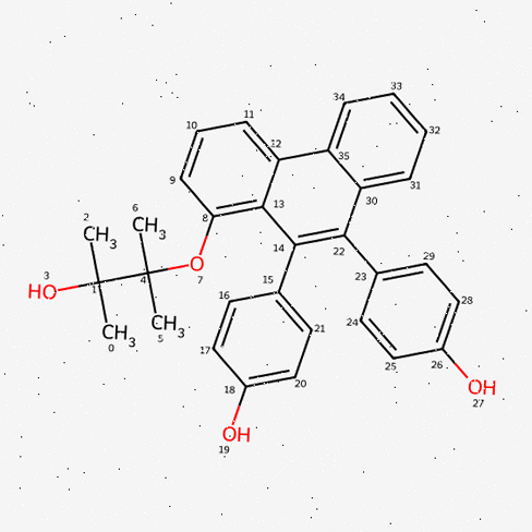 CC(C)(O)C(C)(C)Oc1cccc2c1c(-c1ccc(O)cc1)c(-c1ccc(O)cc1)c1ccccc12